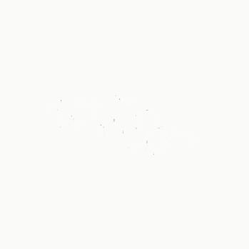 COc1ccc(F)c2c(CCNC(=O)OC(C)(C)C)c(C#N)ccc12